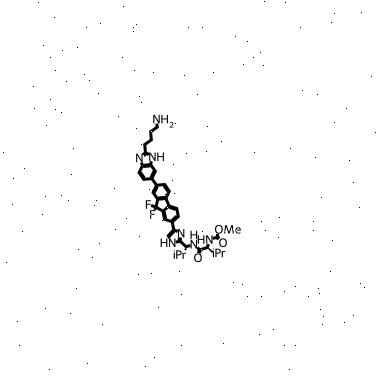 COC(=O)N[C@H](C(=O)N[C@H](c1nc(-c2ccc3c(c2)C(F)(F)c2cc(-c4ccc5nc(CCCCN)[nH]c5c4)ccc2-3)c[nH]1)C(C)C)C(C)C